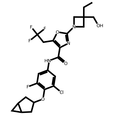 CCC1(CO)CN(c2nc(C(=O)Nc3cc(F)c(OC4CC5CC5C4)c(Cl)c3)c(CC(F)(F)F)o2)C1